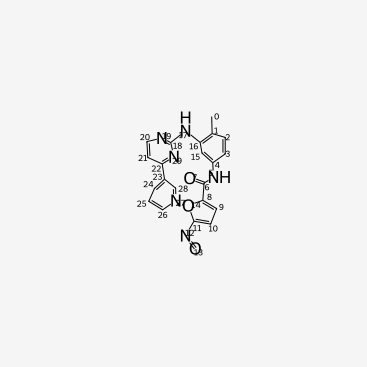 Cc1ccc(NC(=O)c2ccc(N=O)o2)cc1Nc1nccc(-c2cccnc2)n1